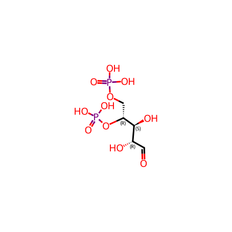 O=C[C@H](O)[C@H](O)[C@@H](COP(=O)(O)O)OP(=O)(O)O